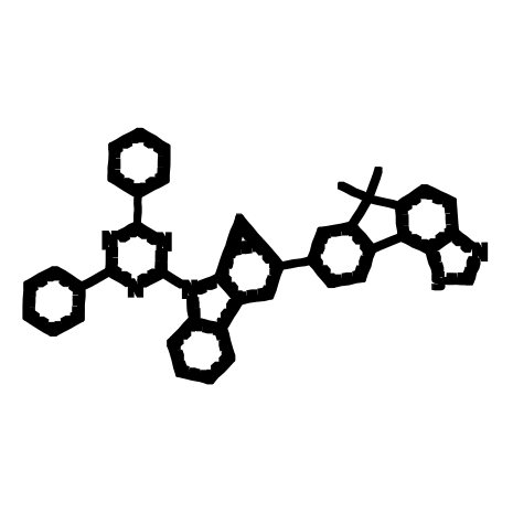 CC1(C)c2cc(-c3cc4c5ccccc5n(-c5nc(-c6ccccc6)nc(-c6ccccc6)n5)c4c4c3=C=4)ccc2-c2c1ccc1ncsc21